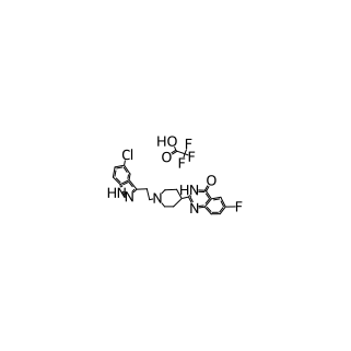 O=C(O)C(F)(F)F.O=c1[nH]c(C2CCN(CCc3n[nH]c4ccc(Cl)cc34)CC2)nc2ccc(F)cc12